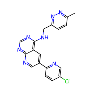 Cc1ccc(CNc2ncnc3ncc(-c4ccc(Cl)cn4)cc23)nn1